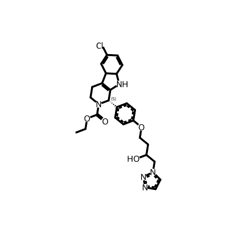 CCOC(=O)N1CCC2=C(NC3C=CC(Cl)=CC23)[C@@H]1c1ccc(OCCC(O)Cn2ccnn2)cc1